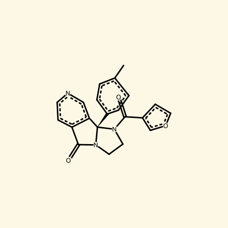 Cc1ccc([C@]23c4cnccc4C(=O)N2CCN3C(=O)c2ccoc2)cc1